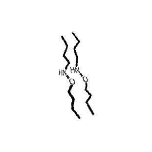 CCCCNOCCCC.CCCCNOCCCC